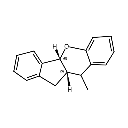 CC1c2ccccc2O[C@H]2c3ccccc3C[C@@H]12